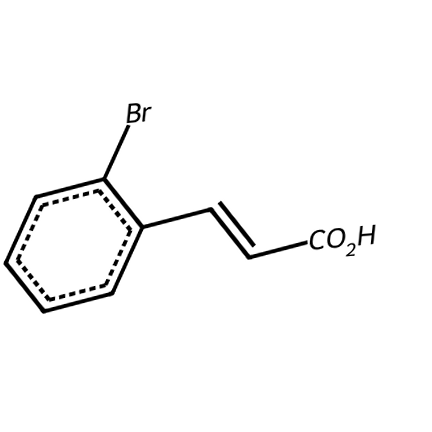 O=C(O)C=Cc1ccccc1Br